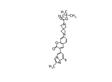 Cc1cn2cc(-c3cc4ccc(N5CC6(CN(C(=O)OC(C)(C)C)C6)C5)cc4oc3=O)cc(F)c2n1